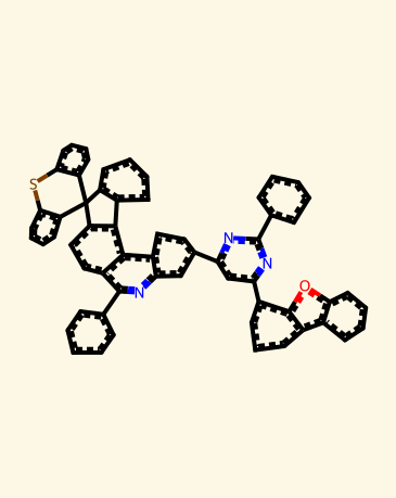 c1ccc(-c2nc(-c3ccc4c(c3)nc(-c3ccccc3)c3ccc5c(c34)-c3ccccc3C53c4ccccc4Sc4ccccc43)cc(-c3cccc4c3oc3ccccc34)n2)cc1